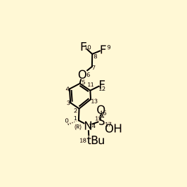 C[C@H](c1ccc(OCC(F)F)c(F)c1)N(S(=O)O)C(C)(C)C